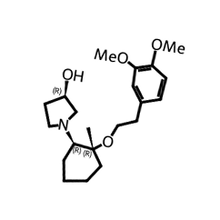 COc1ccc(CCO[C@]2(C)CCCC[C@H]2N2CC[C@@H](O)C2)cc1OC